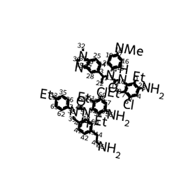 CCc1c(N)cc(Cl)c(CC)c1NC(=O)N(c1ccc(NC)cc1)C(C)c1ccc2c(c1)ncn2C.CCc1ccc(N(Cc2ccc(CCN)cc2)C(=O)Nc2c(CC)c(N)cc(Cl)c2CC)cc1